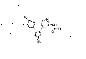 CCC(=O)Nc1cc(-c2cn(C(C)CC)nc2-c2ccc(F)cc2)ccn1